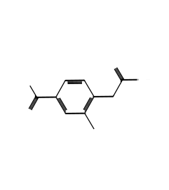 Cc1cc(C(=O)O)ccc1CC(=O)O